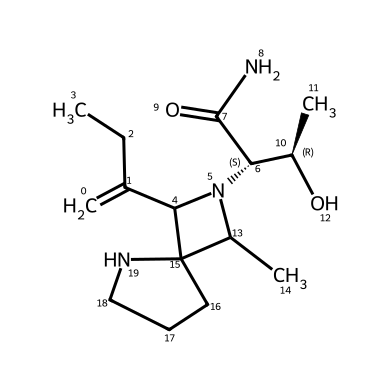 C=C(CC)C1N([C@H](C(N)=O)[C@@H](C)O)C(C)C12CCCN2